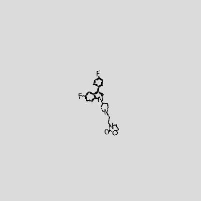 O=C1OCCN1CCN1CCC(n2cc(-c3ccc(F)cc3)c3cc(F)ccc32)CC1